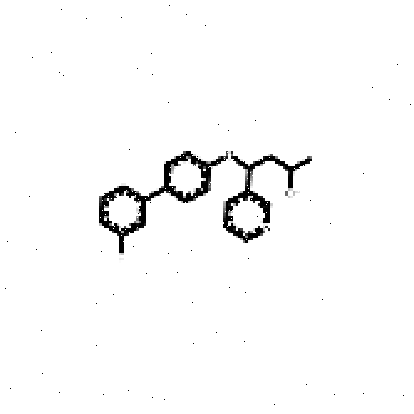 CC(O)CC(Oc1ccc(-c2cccc(F)c2)cc1)c1cccnc1